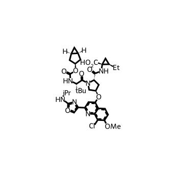 CC[C@@H]1C[C@]1(NC(=O)[C@@H]1C[C@@H](Oc2cc(-c3coc(NC(C)C)n3)nc3c(Cl)c(OC)ccc23)CN1C(=O)[C@@H](NC(=O)O[C@@H]1C[C@@H]2C[C@@H]2C1)C(C)(C)C)C(=O)O